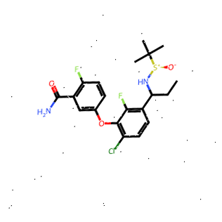 CCC(N[S@+]([O-])C(C)(C)C)c1ccc(Cl)c(Oc2ccc(F)c(C(N)=O)c2)c1F